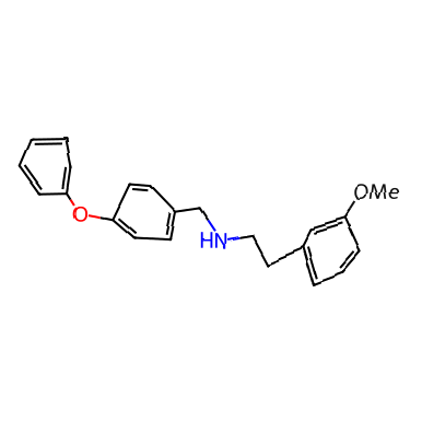 COc1cccc(CCNCc2ccc(Oc3ccccc3)cc2)c1